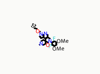 COc1cc(OC)c(F)c(N2Cc3cnc4c(ccn4COCC[Si](C)(C)C)c3C3(CCN(C)CC3)C2=O)c1F